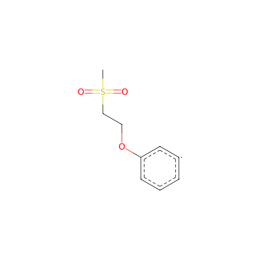 CS(=O)(=O)CCOc1c[c]ccc1